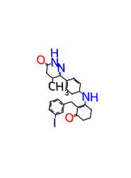 CC1CC(=O)NN=C1C1=CCC(NC2=C(Cc3cccc(I)c3)C(=O)CCC2)C=C1